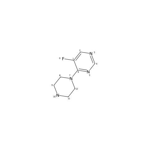 Fc1cncnc1N1CC[N]CC1